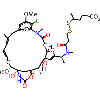 COc1cc2cc(c1Cl)N(C)C(=O)C[C@@H]1OC([C@H](C)N(C)C(=O)CCSSC(C)CCC(=O)O)=C[C@]13O[C@H]3[C@H](C)[C@@H]1C[C@@](O)(NC(=O)O1)[C@H](OC)C/C=C/C=C(\C)C2